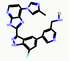 CCNCc1cncc(-c2cc(F)c3[nH]nc(-c4nc5c(-n6cnc(C)c6)ccnc5[nH]4)c3c2)c1